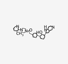 Cc1cccnc1N1CCN(C(=O)Cc2ccc(-c3cccc(-c4cc5cnccc5[nH]4)c3O)cc2)CC1